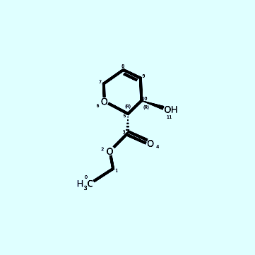 CCOC(=O)[C@@H]1OCC=C[C@H]1O